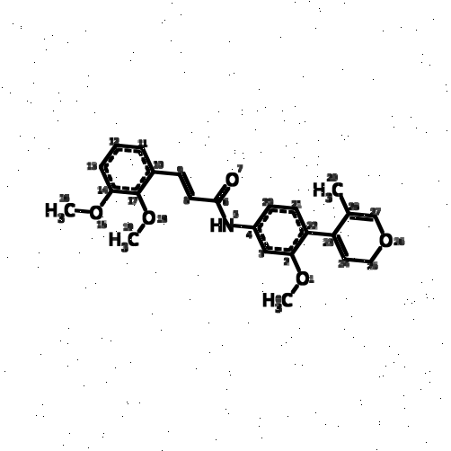 COc1cc(NC(=O)C=Cc2cccc(OC)c2OC)ccc1C1=CCOC=C1C